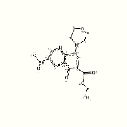 CCOC(=O)c1cn(N2CCOCC2)c2ncc(B(O)O)cc2c1=O